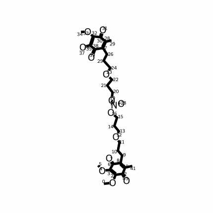 COC1=C(OC)C(=O)C(CCCOCCCO[N+](=O)OCCCOCCCC2=C(C)C(=O)C(OC)=C(OC)C2=O)=C(C)C1=O